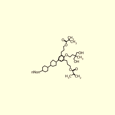 C=C(C)C(=O)OCCCc1cc(C2CCC(C3CCC(CCCCCCCCC)CC3)CC2)cc(CCCOC(=O)C(=C)C)c1OCCC(C)(CO)CO